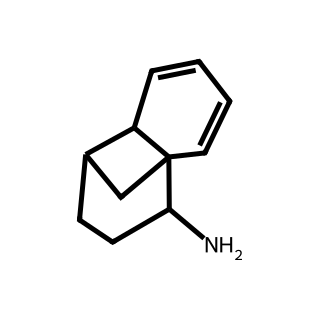 NC1CCC2CC13C=CC=CC23